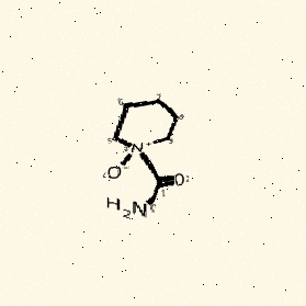 NC(=O)[N+]1([O-])CCCCC1